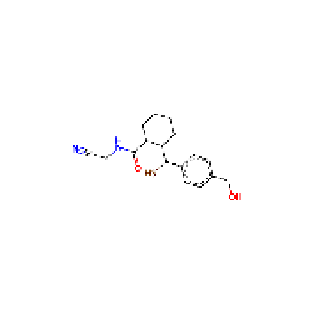 N#CCNC(=O)C1CCCCC1C(S)c1ccc(CO)cc1